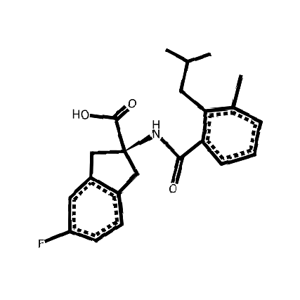 Cc1cccc(C(=O)N[C@@]2(C(=O)O)Cc3ccc(F)cc3C2)c1CC(C)C